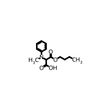 CCCCOC(=O)C(C(=O)O)N(C)c1ccccc1